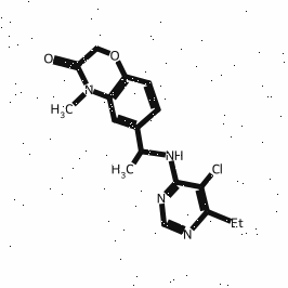 CCc1ncnc(NC(C)c2ccc3c(c2)N(C)C(=O)CO3)c1Cl